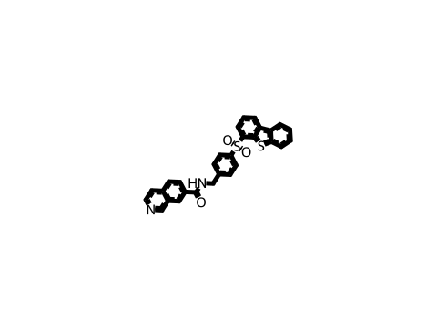 O=C(NCc1ccc(S(=O)(=O)c2cccc3c2sc2ccccc23)cc1)c1ccc2ccncc2c1